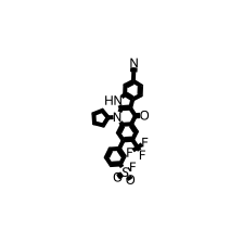 N#Cc1ccc2c(c1)[nH]c1c2c(=O)c2cc(C(F)(F)F)c(-c3cccc(S(=O)(=O)F)c3)cc2n1C1CCCC1